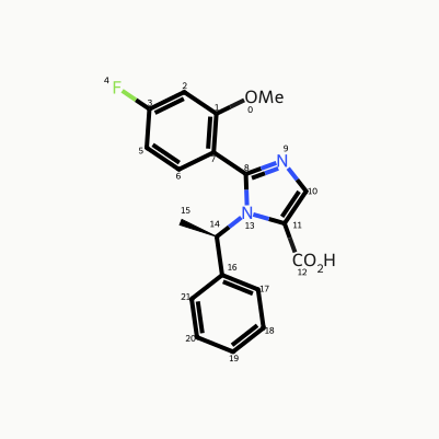 COc1cc(F)ccc1-c1ncc(C(=O)O)n1[C@H](C)c1ccccc1